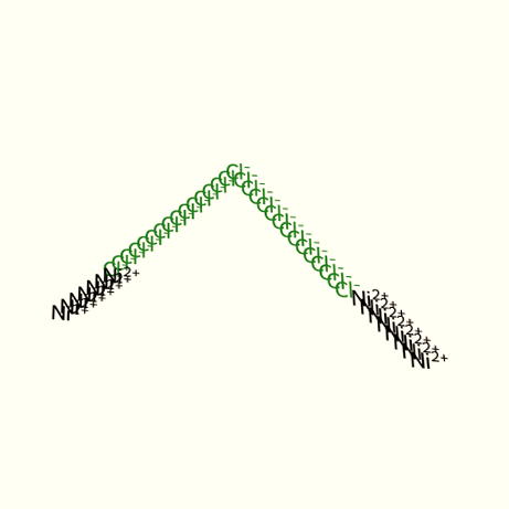 [Cl-].[Cl-].[Cl-].[Cl-].[Cl-].[Cl-].[Cl-].[Cl-].[Cl-].[Cl-].[Cl-].[Cl-].[Cl-].[Cl-].[Cl-].[Cl-].[Cl-].[Cl-].[Cl-].[Cl-].[Cl-].[Cl-].[Cl-].[Cl-].[Cl-].[Cl-].[Cl-].[Cl-].[Cl-].[Cl-].[Ni+2].[Ni+2].[Ni+2].[Ni+2].[Ni+2].[Ni+2].[Ni+2].[Ni+2].[Ni+2].[Ni+2].[Ni+2].[Ni+2].[Ni+2].[Ni+2].[Ni+2]